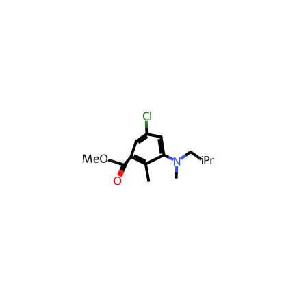 COC(=O)c1cc(Cl)cc(N(C)CC(C)C)c1C